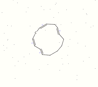 C1=C\C/C=C\C/C=C/CCCC/C=C/1